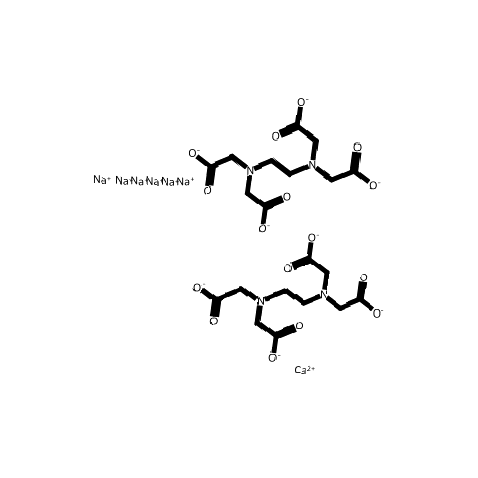 O=C([O-])CN(CCN(CC(=O)[O-])CC(=O)[O-])CC(=O)[O-].O=C([O-])CN(CCN(CC(=O)[O-])CC(=O)[O-])CC(=O)[O-].[Ca+2].[Na+].[Na+].[Na+].[Na+].[Na+].[Na+]